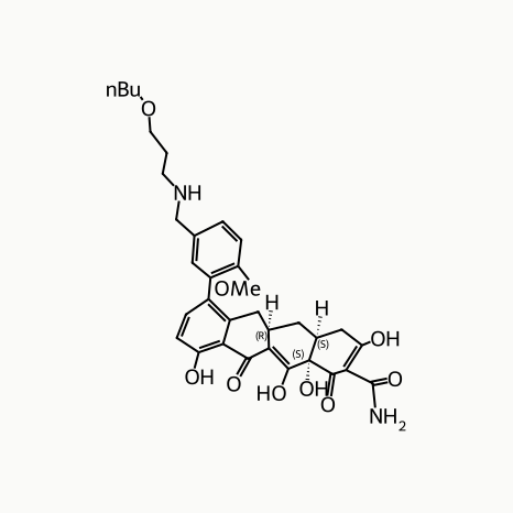 CCCCOCCCNCc1ccc(OC)c(-c2ccc(O)c3c2C[C@H]2C[C@H]4CC(O)=C(C(N)=O)C(=O)[C@@]4(O)C(O)=C2C3=O)c1